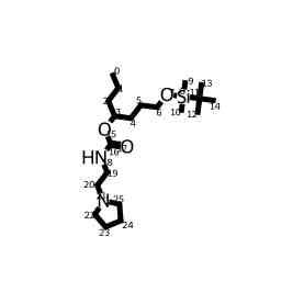 CCCC(CCCO[Si](C)(C)C(C)(C)C)OC(=O)NCCN1CCCC1